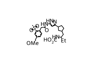 CCC(CC1CCC(c2cc(NC(=O)Cc3ccc(COC)cc3S(C)(=O)=O)[nH]n2)C1)NC(=O)O